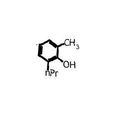 CCCc1c[c]cc(C)c1O